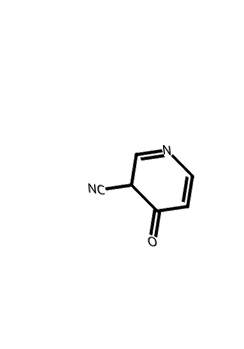 N#CC1C=NC=CC1=O